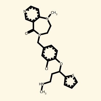 CNCCC(Oc1ccc(CN2CCN(C)c3ccncc3C2=O)cc1Cl)c1cccs1